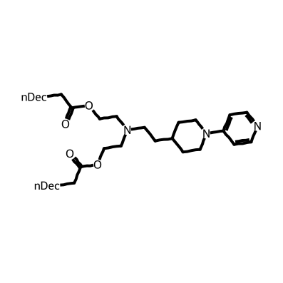 CCCCCCCCCCCC(=O)OCCN(CCOC(=O)CCCCCCCCCCC)CCC1CCN(c2ccncc2)CC1